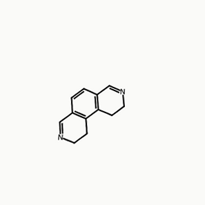 C1=NCCc2c1ccc1c2CCN=C1